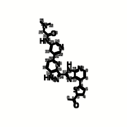 CC(=O)c1ccc(-c2ccnc3[nH]c(-c4n[nH]c5ccc(-c6cncc(NC(=O)CN(C)C)c6)nc45)nc23)s1